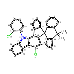 CC1(C)c2ccccc2C2(c3ccccc3-c3c2cc(Cl)c2c4ccccc4n(-c4ccccc4Cl)c32)c2ccccc21